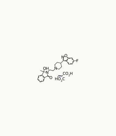 CC1(O)c2ccccc2C(=O)N1CCN1CCC(c2noc3cc(F)ccc23)CC1.O=C(O)/C=C/C(=O)O